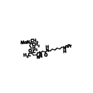 CCCNCCCCCCNC(=O)Cn1cc(CC(C)(C)OCCC(C)(C)NC)nn1